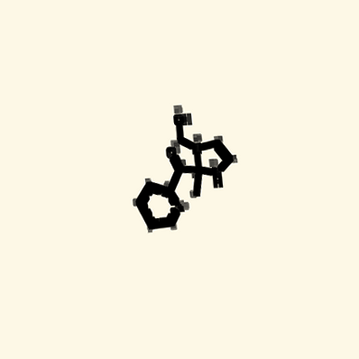 CC1(C(=O)c2ccccn2)NC=CN1CO